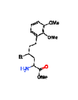 CCC(CCc1cccc(OC)c1OC)CC(N)C(=O)OC